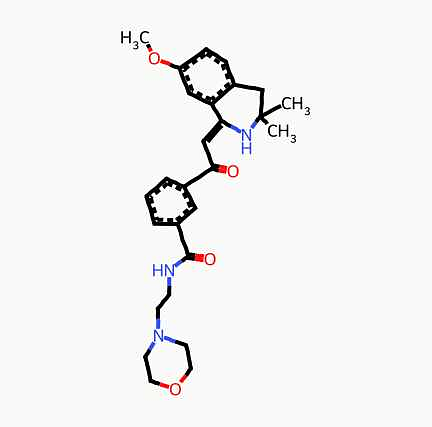 COc1ccc2c(c1)C(=CC(=O)c1cccc(C(=O)NCCN3CCOCC3)c1)NC(C)(C)C2